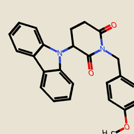 COc1ccc(CN2C(=O)CCC(n3c4ccccc4c4ccccc43)C2=O)cc1